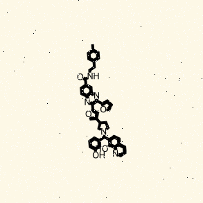 Cc1ccc(CCNC(=O)c2ccc3nc(-c4cc(C5CCN(C(c6cccc(O)c6)c6ccc7cccnc7c6O)C5)co4)c(-c4ccco4)nc3c2)cc1